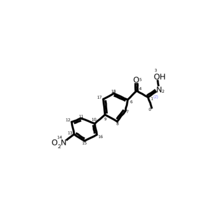 C/C(=N/O)C(=O)c1ccc(-c2ccc([N+](=O)[O-])cc2)cc1